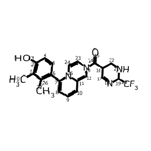 Cc1c(O)ccc(C2=CC=CC3=CN(C(=O)C4C=NC(C(F)(F)F)NC4)C=CN32)c1C